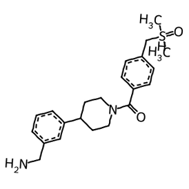 C[SH](C)(=O)Cc1ccc(C(=O)N2CCC(c3cccc(CN)c3)CC2)cc1